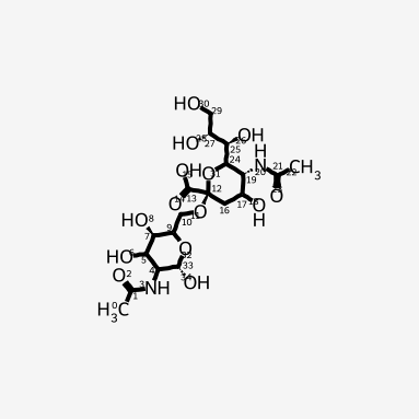 CC(=O)NC1C(O)[C@@H](O)C(CO[C@]2(C(=O)O)CC(O)[C@@H](NC(C)=O)C([C@H](O)[C@H](O)CO)O2)O[C@@H]1O